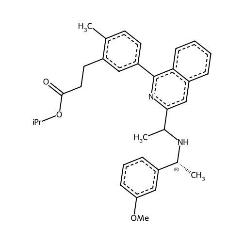 COc1cccc([C@@H](C)NC(C)c2cc3ccccc3c(-c3ccc(C)c(CCC(=O)OC(C)C)c3)n2)c1